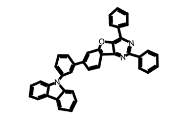 c1ccc(-c2nc(-c3ccccc3)c3oc4cc(-c5cccc(-n6c7ccccc7c7ccccc76)c5)ccc4c3n2)cc1